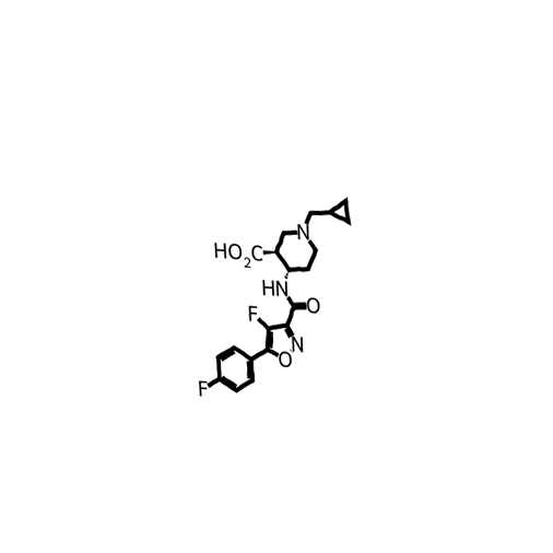 O=C(N[C@H]1CCN(CC2CC2)C[C@@H]1C(=O)O)c1noc(-c2ccc(F)cc2)c1F